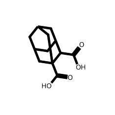 O=C(O)C1C2CC3CC(C2)CC1(C(=O)O)C3